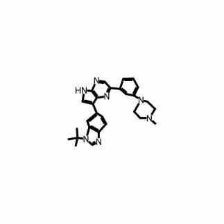 CN1CCN(c2cccc(-c3cnc4[nH]cc(-c5ccc6ncn(C(C)(C)C)c6c5)c4n3)c2)CC1